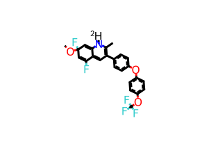 [2H]N1C2=CC(F)(OC)C=C(F)C2=CC(c2ccc(Oc3ccc(OC(F)(F)F)cc3)cc2)=C1C